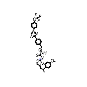 COc1ccc2c(c1)N1C(=CC2C)CS/C1=N\C(=S)NOCc1ccc(-c2ncn(-c3ccc(OC(F)(F)F)cc3)n2)cc1